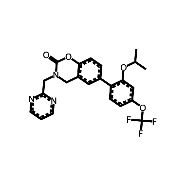 CC(C)Oc1cc(OC(F)(F)F)ccc1-c1ccc2c(c1)CN(Cc1ncccn1)C(=O)O2